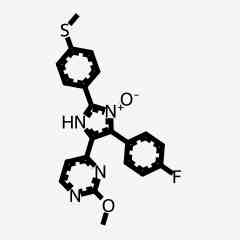 COc1nccc(-c2[nH]c(-c3ccc(SC)cc3)[n+]([O-])c2-c2ccc(F)cc2)n1